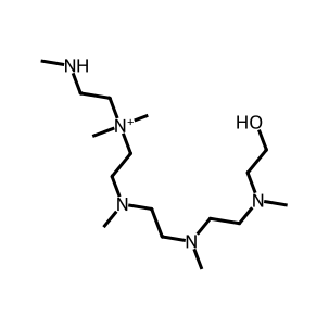 CNCC[N+](C)(C)CCN(C)CCN(C)CCN(C)CCO